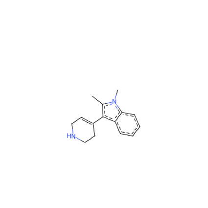 Cc1c(C2=CCNCC2)c2ccccc2n1C